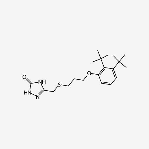 CC(C)(C)c1cccc(OCCCSCc2n[nH]c(=O)[nH]2)c1C(C)(C)C